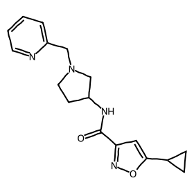 O=C(NC1CCN(Cc2ccccn2)C1)c1cc(C2CC2)on1